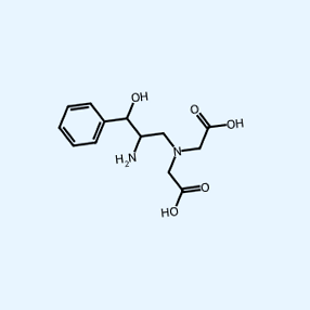 NC(CN(CC(=O)O)CC(=O)O)C(O)c1ccccc1